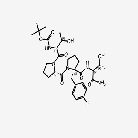 C[C@@H](O)[C@H](NC(=O)[C@]1(Cc2ccc(F)cc2)CCCN1C(=O)[C@@H]1CCCN1C(=O)[C@@H](NC(=O)OC(C)(C)C)[C@@H](C)O)C(N)=O